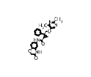 Cc1ncc(OC[C@@]2(c3ccccc3)C[C@H]2C(=O)Nc2ccc3c(c2)NC(=O)CO3)c(C)n1